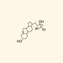 CC[C@@]1(C(C)C)C[C@@]1(O)C[C@@H](C)C1CCC2C3CC=C4C[C@@H](O)CC[C@]4(C)C3CC[C@@]21C